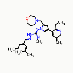 C=C/C=C(C=C(C)C)/C=N/N/C(N=C)=N/n1cc(C2=CC(=C)CN=C2CC)cc1CN1CCCOCC1